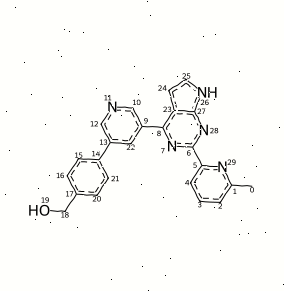 Cc1cccc(-c2nc(-c3cncc(-c4ccc(CO)cc4)c3)c3cc[nH]c3n2)n1